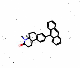 CN1C(=O)CC[C@]2(C)c3ccc(-c4c5ccccc5cc5ccccc45)cc3CC[C@@H]12